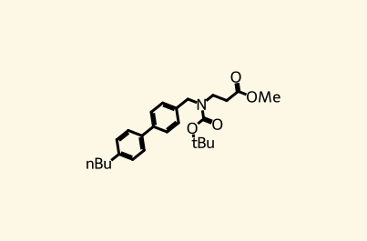 CCCCc1ccc(-c2ccc(CN(CCC(=O)OC)C(=O)OC(C)(C)C)cc2)cc1